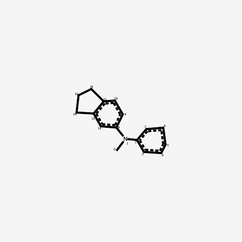 CN(c1ccccc1)c1ccc2c(c1)CCC2